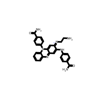 NCC/N=c1/cc2n(-c3ccc(C(N)=O)cc3)c3ccccc3nc-2cc1Nc1ccc(C(N)=O)cc1